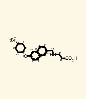 CC(C)(C)[C@H]1CC[C@H](Oc2ccc3cc(CNCCC(=O)O)ccc3c2)CC1